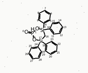 O=[PH]1O[Si](c2ccccc2)(c2ccccc2)C[Si](c2ccccc2)(c2ccccc2)O1